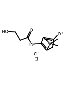 C[Si]1(C)C2=C(NC(=O)CCO)C1=[C]([Zr+2])C2.[Cl-].[Cl-]